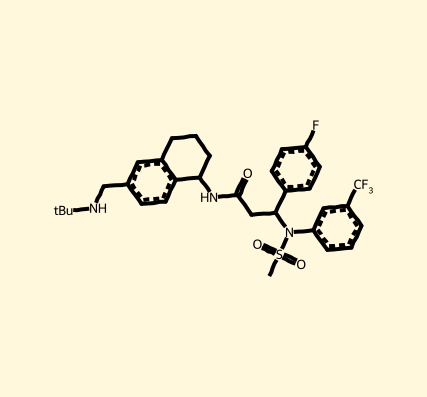 CC(C)(C)NCc1ccc2c(c1)CCCC2NC(=O)CC(c1ccc(F)cc1)N(c1cccc(C(F)(F)F)c1)S(C)(=O)=O